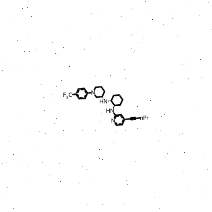 CCCC#Cc1ccnc(N[C@@H]2CCCC[C@H]2N[C@H]2CCCN(c3ccc(C(F)(F)F)cc3)C2)c1